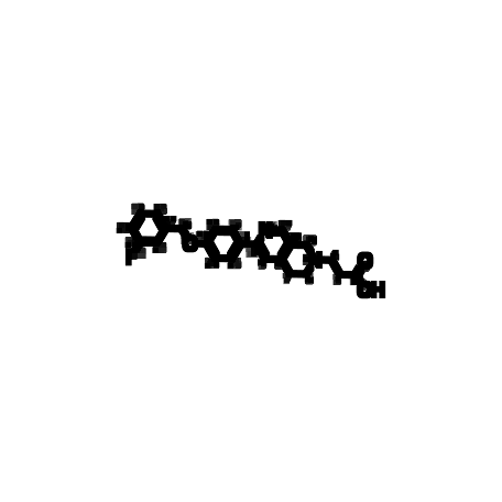 O=C(O)CCN1CCc2cc(-c3ccc(OCc4cccc(F)c4)cc3)ncc2C1